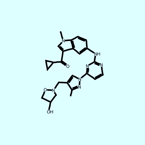 Cc1nn(-c2ccnc(Nc3ccc4c(c3)c(C(=O)C3CC3)cn4C)n2)cc1CN1CC(O)CO1